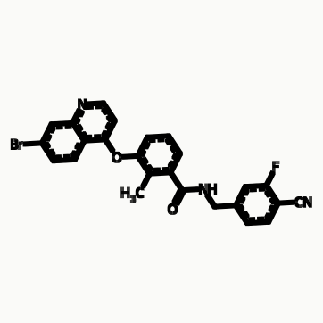 Cc1c(Oc2ccnc3cc(Br)ccc23)cccc1C(=O)NCc1ccc(C#N)c(F)c1